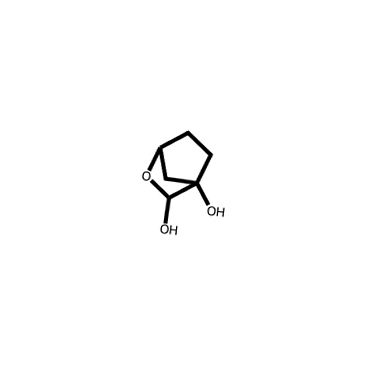 OC1OC2CCC1(O)C2